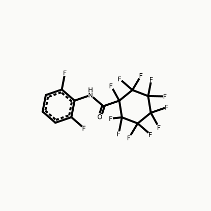 O=C(Nc1c(F)cccc1F)C1(F)C(F)(F)C(F)(F)C(F)(F)C(F)(F)C1(F)F